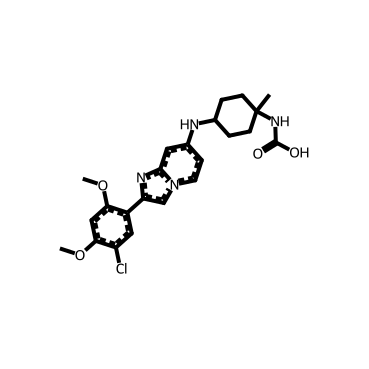 COc1cc(OC)c(-c2cn3ccc(NC4CCC(C)(NC(=O)O)CC4)cc3n2)cc1Cl